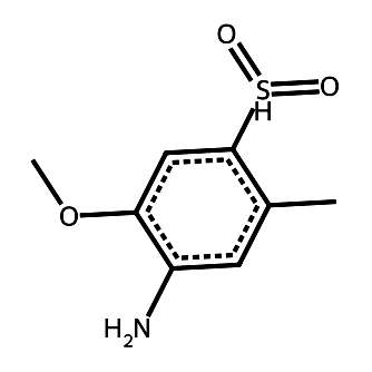 COc1cc([SH](=O)=O)c(C)cc1N